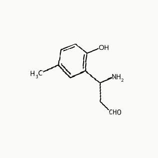 Cc1ccc(O)c(C(N)CC=O)c1